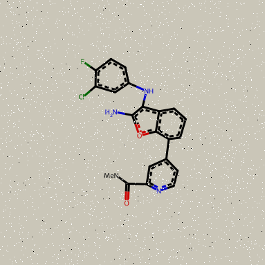 CNC(=O)c1cc(-c2cccc3c(Nc4ccc(F)c(Cl)c4)c(N)oc23)ccn1